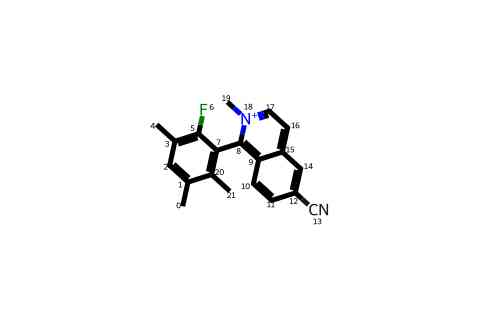 Cc1cc(C)c(F)c(-c2c3ccc(C#N)cc3cc[n+]2C)c1C